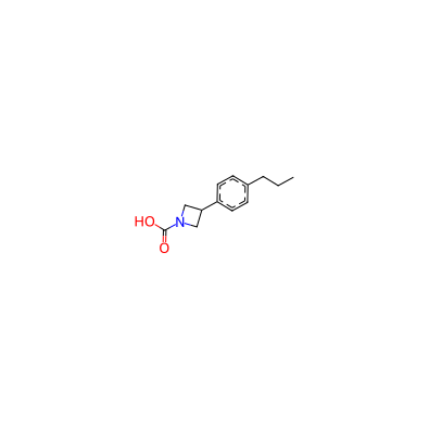 CCCc1ccc(C2CN(C(=O)O)C2)cc1